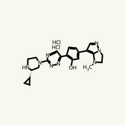 CN1CCn2ncc(-c3ccc(-c4cnc(N5CCN[C@@H](C6CC6)C5)nn4)c(O)c3)c21.Cl.Cl